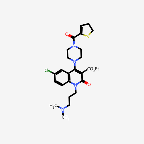 CCOC(=O)c1c(N2CCN(C(=O)C3=CCCS3)CC2)c2cc(Cl)ccc2n(CCCN(C)C)c1=O